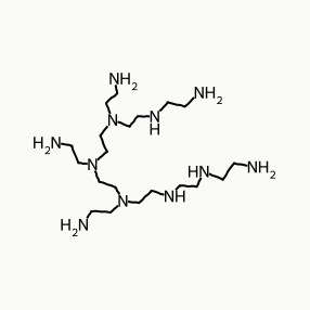 NCCNCCNCCN(CCN)CCN(CCN)CCN(CCN)CCNCCN